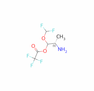 C[C@H](N)C(OC(=O)C(F)(F)F)OC(F)F